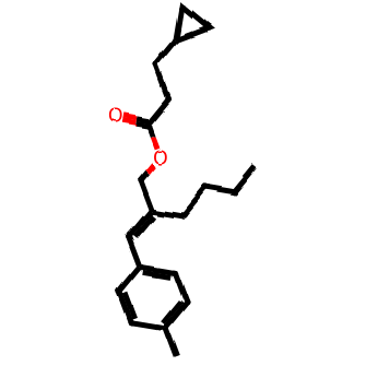 CCCC/C(=C\c1ccc(C)cc1)COC(=O)CCC1CC1